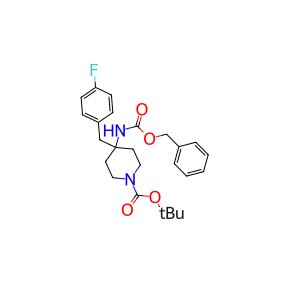 CC(C)(C)OC(=O)N1CCC(Cc2ccc(F)cc2)(NC(=O)OCc2ccccc2)CC1